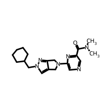 CN(C)C(=O)c1cncc(N2Cc3cn(CC4CCCCC4)nc3C2)n1